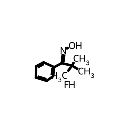 CC(C)(C)C(=NO)c1ccccc1.F